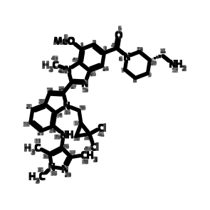 COc1cc(C(=O)N2CCC[C@@H](CN)C2)cc2nc(-c3cc4cccc(Nc5c(C)nn(C)c5C)c4n3CC3CC3(Cl)Cl)n(C)c12